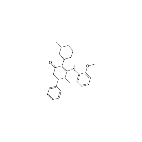 COc1ccccc1NC1=C(N2CCCC(C)C2)C(=O)CC(c2ccccc2)C1C